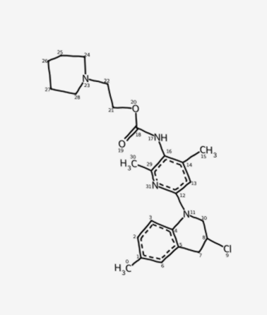 Cc1ccc2c(c1)CC(Cl)CN2c1cc(C)c(NC(=O)OCCN2CCCCC2)c(C)n1